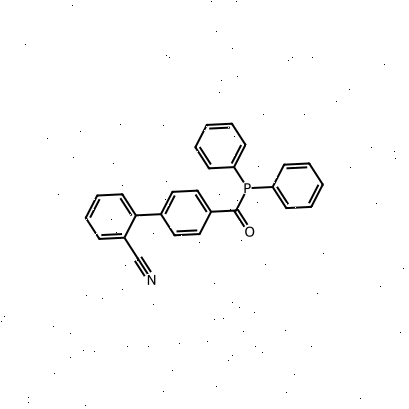 N#Cc1ccccc1-c1ccc(C(=O)P(c2ccccc2)c2ccccc2)cc1